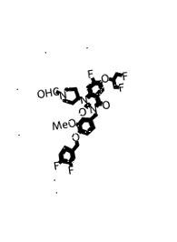 COc1cc(Cn2c(=O)c3cc(OC(CF)CF)c(F)cc3n(C3CCN(C=O)CC3)c2=O)ccc1OCc1ccc(F)c(F)c1